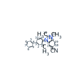 Cc1cc(-c2ccccc2)ccc1N1c2cc(C#N)ccc2N(C)[C@@H]1C